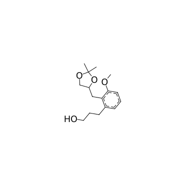 COc1cccc(CCCO)c1CC1COC(C)(C)O1